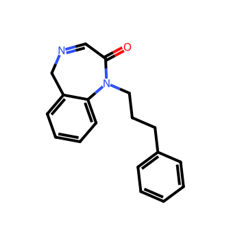 O=C1C=NCc2ccccc2N1CCCc1ccccc1